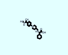 C=C(NO)c1ccc(N2CCC(CN[C@H](C(=O)O)C3CCCCC3)CC2)cc1